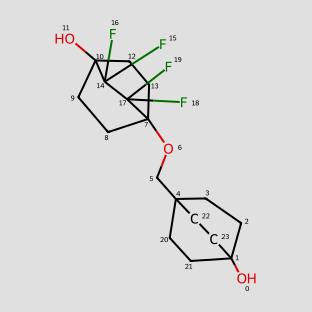 OC12CCC(COC34CCC(O)(CC3)C(F)(F)C4(F)F)(CC1)CC2